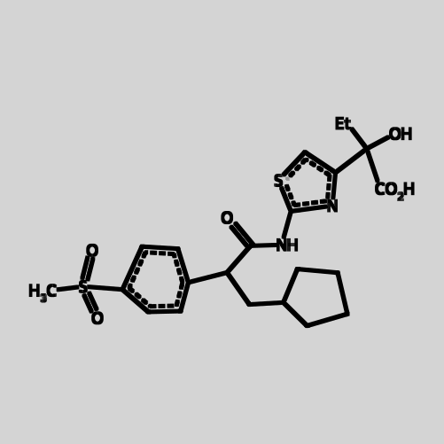 CCC(O)(C(=O)O)c1csc(NC(=O)C(CC2CCCC2)c2ccc(S(C)(=O)=O)cc2)n1